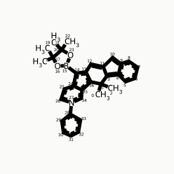 CC1(C)C2=c3ccccc3=CC2=Cc2c(B3OC(C)(C)C(C)(C)O3)c3ccn(-c4ccccc4)cc-3c21